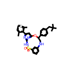 Cc1cccc(C)c1-c1cc2nc(n1)NS(=O)(=O)c1cccc(c1)NCC(c1ccc(CC(C)(C)C)cc1)O2